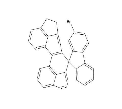 Brc1ccc2c(c1)C1(c3ccccc3-2)c2cc3c4c(cccc4c2-c2cccc4cccc1c24)CC3